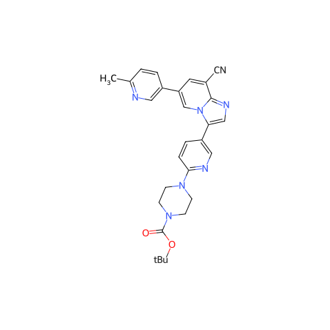 Cc1ccc(-c2cc(C#N)c3ncc(-c4ccc(N5CCN(C(=O)OC(C)(C)C)CC5)nc4)n3c2)cn1